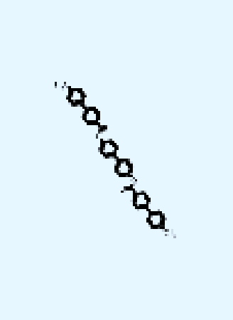 Cc1ccc(-c2ccc(C(=O)Oc3ccc(-c4ccc(OC(=O)c5ccc(-c6ccc(C)cc6)cc5)cc4)cc3)cc2)cc1